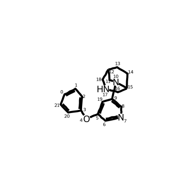 c1ccc(Oc2cncc(N3CC4CCC3CNC4)c2)cc1